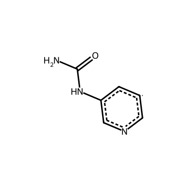 NC(=O)Nc1c[c]cnc1